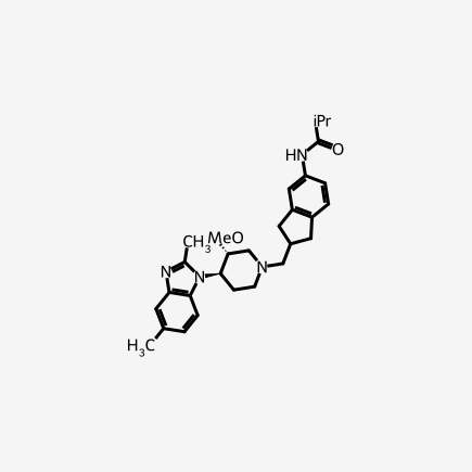 CO[C@@H]1CN(CC2Cc3ccc(NC(=O)C(C)C)cc3C2)CC[C@H]1n1c(C)nc2cc(C)ccc21